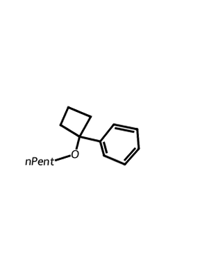 CCCCCOC1(c2ccccc2)CCC1